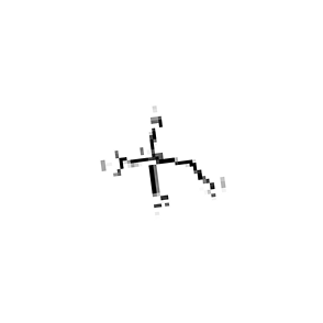 [BH3-][P+](CC)(CC)CO